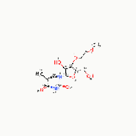 COCCOC1C(O)[C@@H](n2cc(C)c(=O)[nH]c2=O)O[C@H]1CO